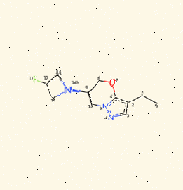 CCc1cnn2c1OC[C@H](N1CC(F)C1)C2